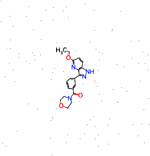 CCOc1ccc2[nH]nc(-c3cccc(C(=O)N4CCOCC4)c3)c2n1